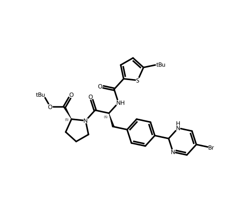 CC(C)(C)OC(=O)[C@@H]1CCCN1C(=O)[C@H](Cc1ccc(C2N=CC(Br)=CN2)cc1)NC(=O)c1ccc(C(C)(C)C)s1